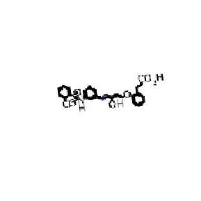 O=C(O)CCc1ccccc1OCCC(O)/C=C/c1cccc(NS(=O)(=O)c2ccccc2Cl)c1